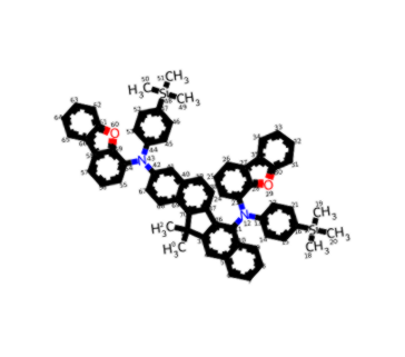 CC1(C)c2cc3ccccc3c(N(c3ccc([Si](C)(C)C)cc3)c3cccc4c3oc3ccccc34)c2-c2ccc3cc(N(c4ccc([Si](C)(C)C)cc4)c4cccc5c4oc4ccccc45)ccc3c21